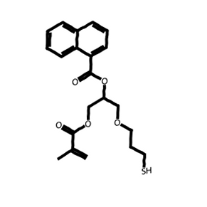 C=C(C)C(=O)OCC(COCCCS)OC(=O)c1cccc2ccccc12